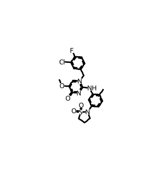 COc1cn(Cc2ccc(F)c(Cl)c2)c(Nc2cc(N3CCCS3(=O)=O)ccc2C)nc1=O